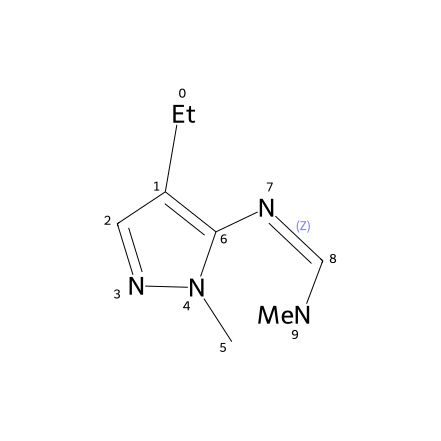 CCc1cnn(C)c1/N=C\NC